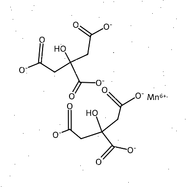 O=C([O-])CC(O)(CC(=O)[O-])C(=O)[O-].O=C([O-])CC(O)(CC(=O)[O-])C(=O)[O-].[Mn+6]